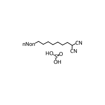 CCCCCCCCCCCCCCCCC(C#N)C#N.O=S(O)O